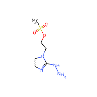 CS(=O)(=O)OCCN1CCN=C1NN